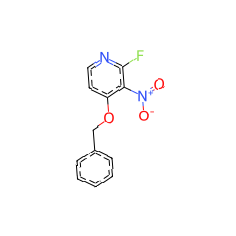 O=[N+]([O-])c1c(OCc2ccccc2)ccnc1F